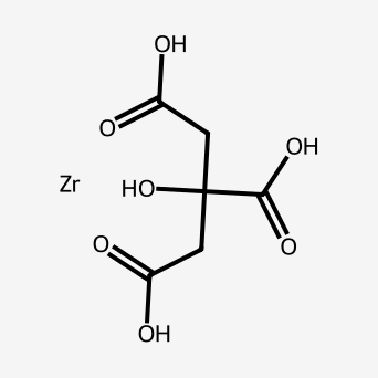 O=C(O)CC(O)(CC(=O)O)C(=O)O.[Zr]